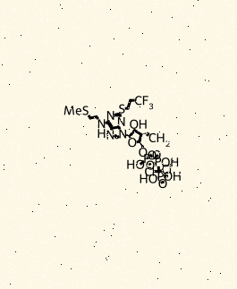 C=C[C@H]1[C@@H](O)[C@H](n2cnc3c(NCCSC)nc(SCCC(F)(F)F)nc32)O[C@@H]1COP(=O)(O)OP(=O)(O)C(Cl)(Cl)P(=O)(O)O